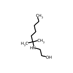 CCCCCC(C)(C)NCCO